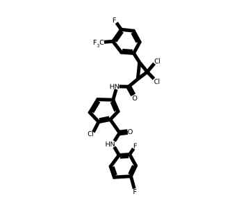 O=C(Nc1ccc(F)cc1F)c1cc(NC(=O)C2C(c3ccc(F)c(C(F)(F)F)c3)C2(Cl)Cl)ccc1Cl